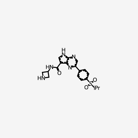 CC(C)S(=O)(=O)c1ccc(-c2cnc3[nH]cc(C(=O)NC4CNC4)c3n2)cc1